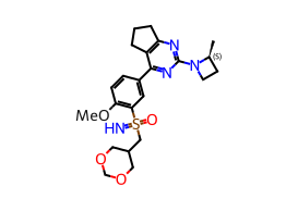 COc1ccc(-c2nc(N3CC[C@@H]3C)nc3c2CCC3)cc1S(=N)(=O)CC1COCOC1